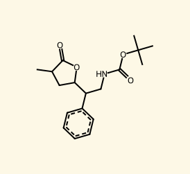 CC1CC(C(CNC(=O)OC(C)(C)C)c2ccccc2)OC1=O